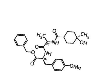 COc1ccc(C[C@H](NC(=O)[C@@H](C)NC(=O)[C@H]2CC[C@](C)(O)CC2)C(=O)OCc2ccccc2)cc1